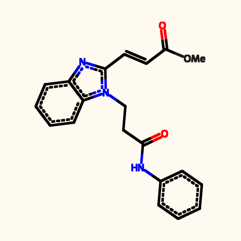 COC(=O)/C=C/c1nc2ccccc2n1CCC(=O)Nc1ccccc1